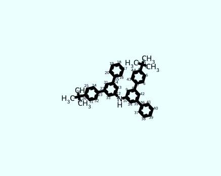 CC(C)(C)c1ccc(-c2cc(Nc3cc(-c4ccccc4)cc(-c4ccc(C(C)(C)C)cc4)c3)cc(-c3ccccc3)c2)cc1